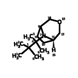 CC(C)(C)C(C)(C)N1C2CC[C@@H]1COC2